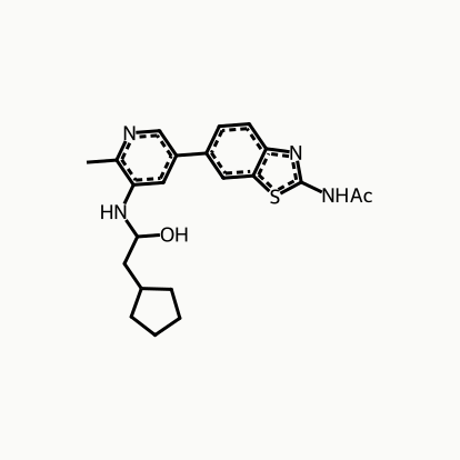 CC(=O)Nc1nc2ccc(-c3cnc(C)c(NC(O)CC4CCCC4)c3)cc2s1